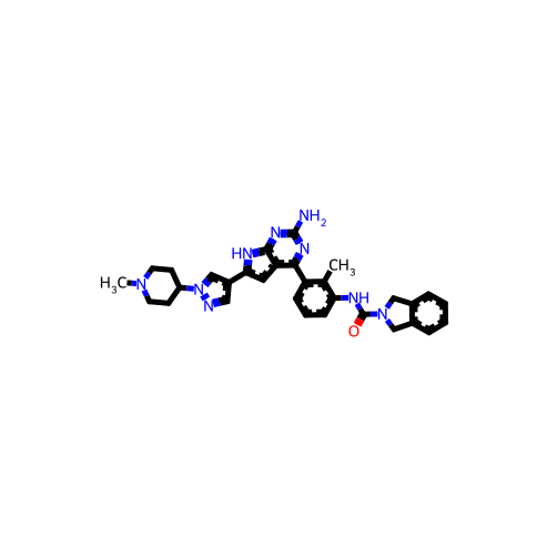 Cc1c(NC(=O)N2Cc3ccccc3C2)cccc1-c1nc(N)nc2[nH]c(-c3cnn(C4CCN(C)CC4)c3)cc12